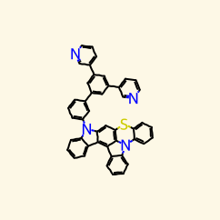 c1cncc(-c2cc(-c3cccnc3)cc(-c3cccc(-n4c5ccccc5c5c6c7ccccc7n7c6c(cc54)Sc4ccccc4-7)c3)c2)c1